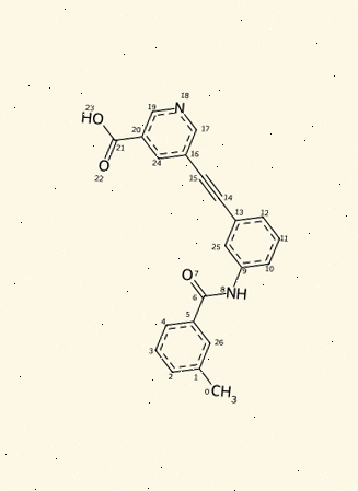 Cc1cccc(C(=O)Nc2cccc(C#Cc3cncc(C(=O)O)c3)c2)c1